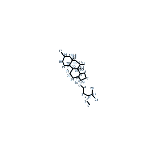 CC[C@H](CCC[C@H]1CCC2[C@@H]3C(C)C[C@@H]4CC(C)CC[C@]4(C)C3CC[C@@]21C)C(C)C